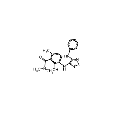 Cc1ccc(Nc2nsnc2Nc2ccccc2)c(O)c1C(=O)N(C)C